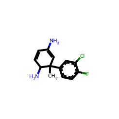 CC1(c2ccc(F)c(Cl)c2)C=C(N)C=CC1N